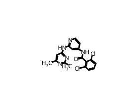 Cc1cc(Nc2cc(NC(=O)c3c(Cl)cccc3Cl)ccn2)nc(C)n1